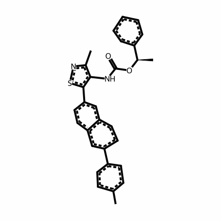 Cc1ccc(-c2ccc3cc(-c4snc(C)c4NC(=O)O[C@H](C)c4ccccc4)ccc3c2)cc1